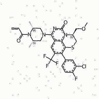 C=CC(=O)N1[C@H](C)CN(c2nc(=O)n3c4c(c(-c5ccc(F)c(Cl)c5)c(C(F)(F)F)cc24)SC[C@@H]3COC)C[C@@H]1C